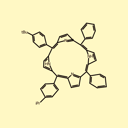 CC(C)c1ccc(-c2c3nc(c(-c4ccccc4)c4ccc([nH]4)c(-c4ccccc4)c4nc(c(-c5ccc(C(C)(C)C)cc5)c5ccc2[nH]5)C=C4)C=C3)cc1